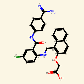 N=C(N)c1ccc(NC(=O)c2cc(Cl)ccc2NCc2c(OCC(=O)O)ccc3ccccc23)cc1